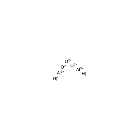 [Al+3].[Al+3].[Hf].[Hf].[O-2].[O-2].[O-2]